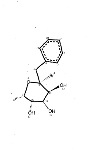 C[C@@H]1O[C@@](Br)(Cc2ccccc2)[C@@H](O)[C@H](O)[C@@H]1O